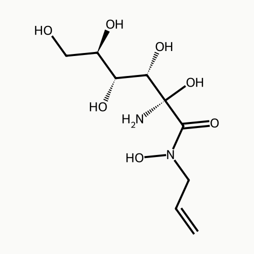 C=CCN(O)C(=O)[C@](N)(O)[C@@H](O)[C@H](O)[C@H](O)CO